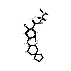 CN(C)S(=O)(=O)NC(=O)c1cc(Cl)c(OC2CCC3(CCCC3)CC2)cc1F